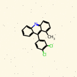 Cc1cccc2nc3ccccc3c(-c3ccc(Cl)c(Cl)c3)c12